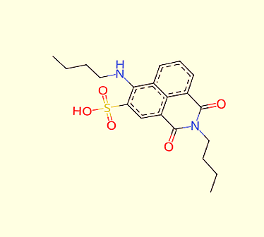 CCCCNc1c(S(=O)(=O)O)cc2c3c(cccc13)C(=O)N(CCCC)C2=O